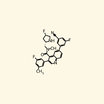 Cc1cc(F)cc(-c2cnc3ccc(-c4cc(F)cc(C#N)c4)cc3c2C(=O)N(C)C[C@@H]2C[C@@H](F)CN2)c1